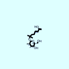 C=C(O)/C=C/CCC(C)(C)O[C@@H]1O[C@H](CO)[C@@H](O)[C@H](C)[C@H]1C